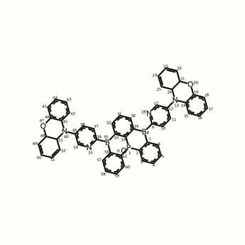 O=P12c3ccccc3B(c3ccc(N4c5ccccc5OC5C=CC=CC54)cn3)c3cccc(c31)B(c1ccc(N3c4ccccc4OC4C=CC=CC43)cn1)c1ccccc12